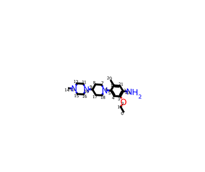 CCOc1cc(N2CCC(N3CCN(C)CC3)CC2)c(C)cc1N